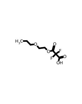 CCCOCCOC(=O)C(F)(F)C(=O)O